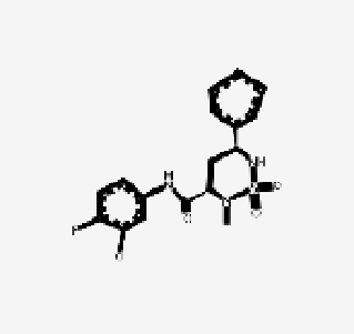 CN1[C@@H](C(=O)Nc2ccc(F)c(Cl)c2)C[C@@H](c2ccccc2)NS1(=O)=O